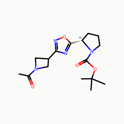 CC(=O)N1CC(c2noc([C@@H]3CCCN3C(=O)OC(C)(C)C)n2)C1